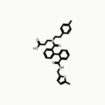 Cc1ccc(CCN(CCC(=O)O)C(=O)c2ccccc2-c2ccccc2C(=O)NCc2ccc(C)o2)cc1